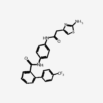 Nc1nc(CC(=O)Nc2ccc(NC(=O)c3ccccc3-c3ccc(C(F)(F)F)cc3)cc2)cs1